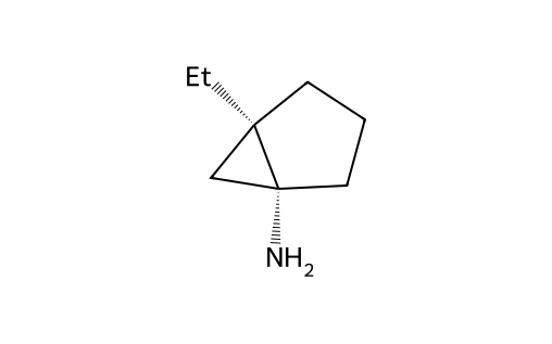 CC[C@]12CCC[C@@]1(N)C2